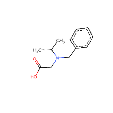 CC(C)N(CC(=O)O)Cc1ccccc1